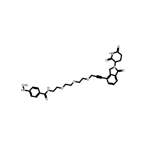 O=CNc1ccc(C(=O)NCCOCCOCCOCC#Cc2cccc3c2CN(C2CCC(=O)NC2=O)C3=O)cc1